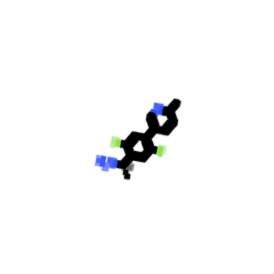 Cc1ccc(-c2cc(F)c([C@H](C)N)cc2F)cn1